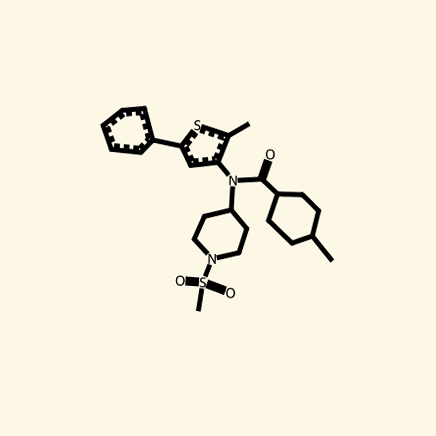 Cc1sc(-c2ccccc2)cc1N(C(=O)C1CCC(C)CC1)C1CCN(S(C)(=O)=O)CC1